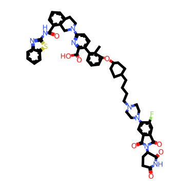 Cc1c(OC2CCC(CCCCN3CCN(c4cc5c(cc4F)C(=O)N(C4CCC(=O)NC4=O)C5=O)CC3)CC2)cccc1-c1ccc(N2CCc3cccc(C(=O)Nc4nc5ccccc5s4)c3C2)nc1C(=O)O